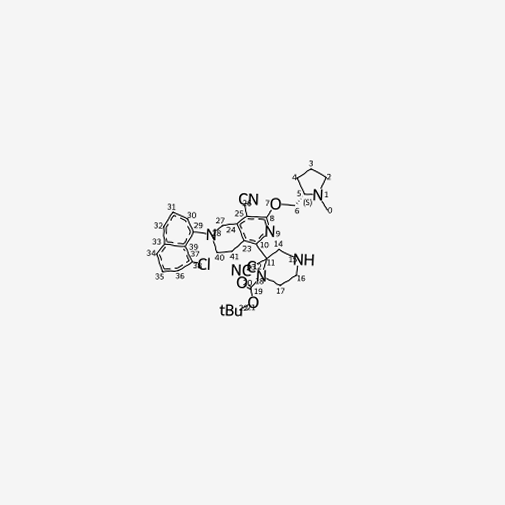 CN1CCC[C@H]1COc1nc(C2(CC#N)CNCCN2C(=O)OC(C)(C)C)c2c(c1C#N)CN(c1cccc3cccc(Cl)c13)CC2